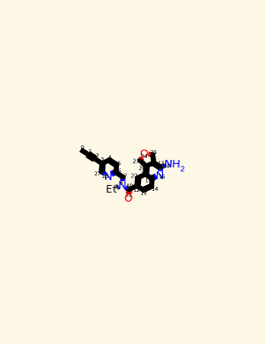 CC#Cc1ccc(CN(CC)C(=O)c2ccc3nc(N)c4c(c3c2)COC4)nc1